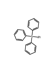 CC(C)S(c1ccccc1)(c1ccccc1)c1ccccc1